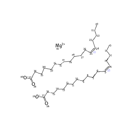 CCCC/C=C\CCCCCCCCCCCC(=O)[O-].CCCC/C=C\CCCCCCCCCCCC(=O)[O-].[Mg+2]